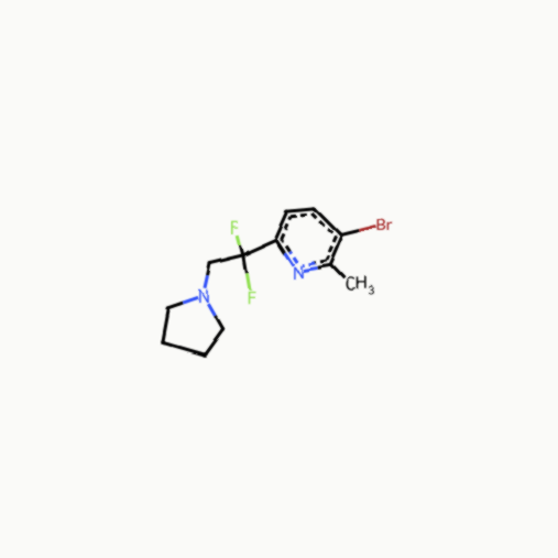 Cc1nc(C(F)(F)CN2CCCC2)ccc1Br